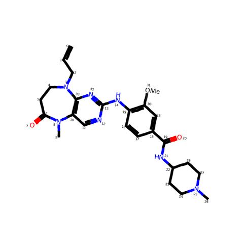 C=CCN1CCC(=O)N(C)c2cnc(Nc3ccc(C(=O)NC4CCN(C)CC4)cc3OC)nc21